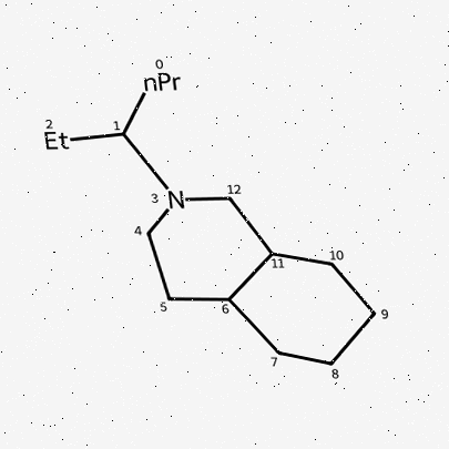 CCCC(CC)N1CCC2CCCCC2C1